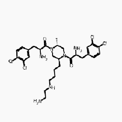 C[C@@H]1CN(C(=O)C(N)Cc2ccc(Cl)c(Cl)c2)[C@@H](CCCCNCCN)CN1C(=O)C(N)Cc1ccc(Cl)c(Cl)c1